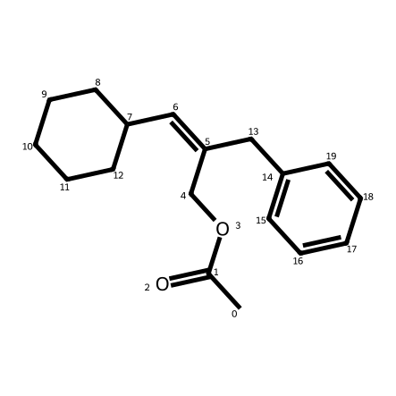 CC(=O)OCC(=CC1CCCCC1)Cc1ccccc1